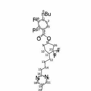 CCCCc1ccc(C(=O)OC2CCC(CCCCc3ncc(C)cn3)C(F)(F)C2)c(F)c1F